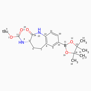 CC(C)(C)OC(=O)N[C@H]1CCc2cc(B3OC(C)(C)C(C)(C)O3)ccc2NC1=O